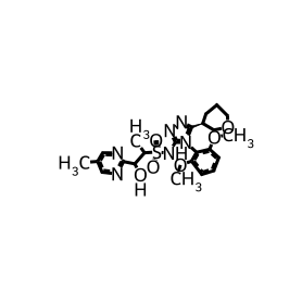 COc1cccc(OC)c1-n1c(NS(=O)(=O)C(C)C(O)c2ncc(C)cn2)nnc1[C@H]1CCCOC1